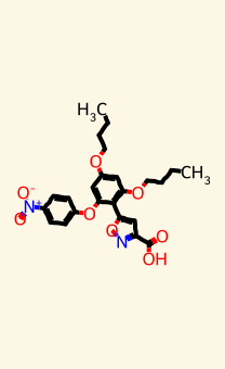 CCCCOc1cc(OCCCC)c(-c2cc(C(=O)O)no2)c(Oc2ccc([N+](=O)[O-])cc2)c1